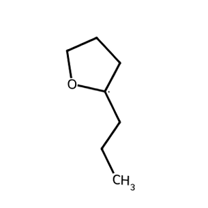 CCC[C]1CCCO1